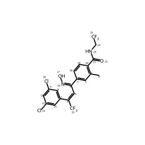 Cc1cc(C(/C=C(\c2cc(Cl)cc(Cl)c2)C(F)(F)F)=N\O)ccc1C(=O)NCC(F)(F)F